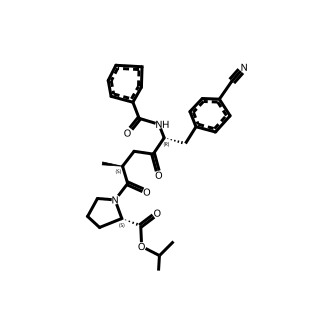 CC(C)OC(=O)[C@@H]1CCCN1C(=O)[C@@H](C)CC(=O)[C@@H](Cc1ccc(C#N)cc1)NC(=O)c1ccccc1